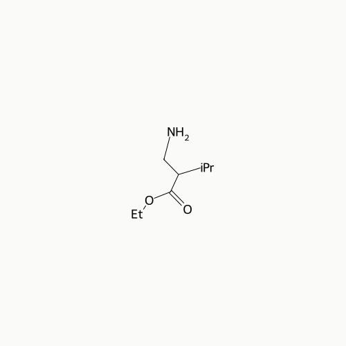 CCOC(=O)C(CN)C(C)C